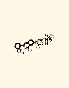 CCS(=O)(=O)NC[C@H]1CN(c2ccc3cc(-c4ccccc4C(F)(F)F)[nH]c(=O)c3c2)C(=O)O1